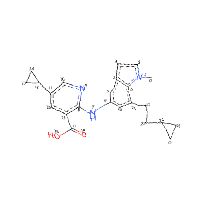 Cn1ccc2cc(Nc3ncc(C4CC4)cc3C(=O)O)cc(CCC3CC3)c21